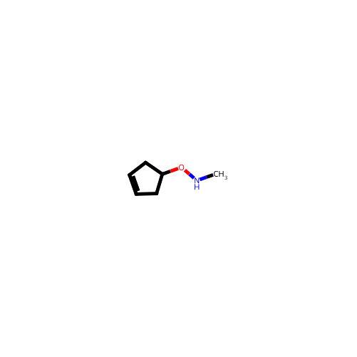 CNOC1CC=CC1